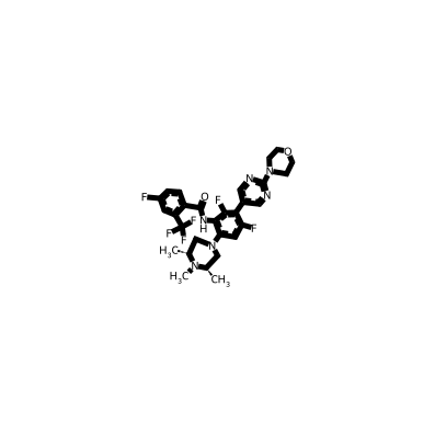 C[C@@H]1CN(c2cc(F)c(-c3cnc(N4CCOCC4)nc3)c(F)c2NC(=O)c2ccc(F)cc2C(F)(F)F)C[C@H](C)N1C